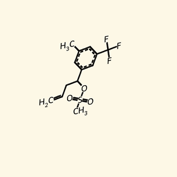 C=CCC(OS(C)(=O)=O)c1cc(C)cc(C(F)(F)F)c1